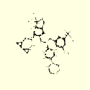 Cc1cc(CN(Cc2cc3c(nc2N(CC2CC2)CC2CC2)C(C)(C)CC3)c2ncc(N3CCOCC3)cn2)cc(C(F)(F)F)c1